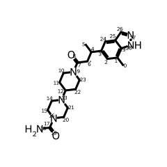 Cc1cc(C(C)[CH]C(=O)N2CCC(N3CCN(C(N)=O)CC3)CC2)cc2cn[nH]c12